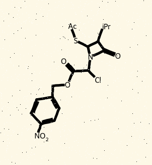 CC(=O)SC1C(C(C)C)C(=O)N1C(Cl)C(=O)OCc1ccc([N+](=O)[O-])cc1